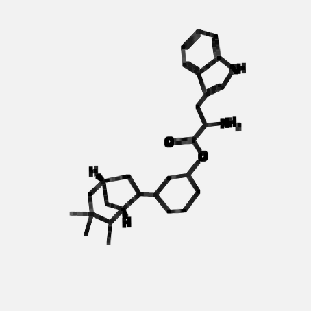 CC1[C@@H]2C[C@@H](CC2C2CCCC(OC(=O)C(N)Cc3c[nH]c4ccccc34)C2)CC1(C)C